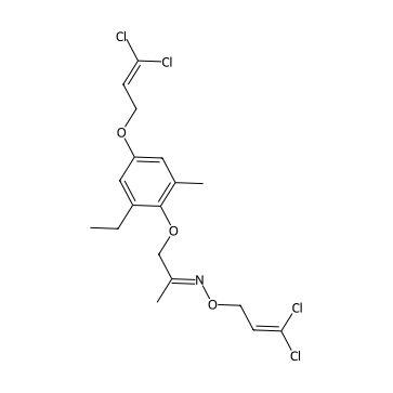 CCc1cc(OCC=C(Cl)Cl)cc(C)c1OCC(C)=NOCC=C(Cl)Cl